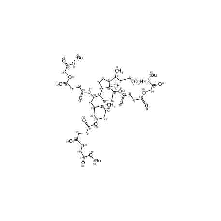 CC(CCC(=O)O)C1CCC2C3C(OC(=O)CCC(=O)OCC(=O)OC(C)(C)C)CC4CC(OC(=O)CCC(=O)OCC(=O)OC(C)(C)C)CCC4(C)C3CC(OC(=O)CCC(=O)OCC(=O)OC(C)(C)C)C12C